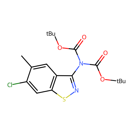 Cc1cc2c(N(C(=O)OC(C)(C)C)C(=O)OC(C)(C)C)nsc2cc1Cl